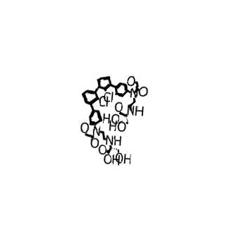 O=C(O)[C@@H](CO)NCCN1C(=O)COc2cc(-c3cccc(-c4cccc(-c5ccc6c(c5)OCC(=O)N6CCN[C@H](CO)C(=O)O)c4Cl)c3Cl)ccc21